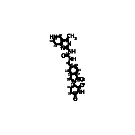 Cc1nc(NC(=O)NCc2ccc3c(c2)CN(C2CCC(=O)NC2=O)C3=O)nc2c1CNCC2